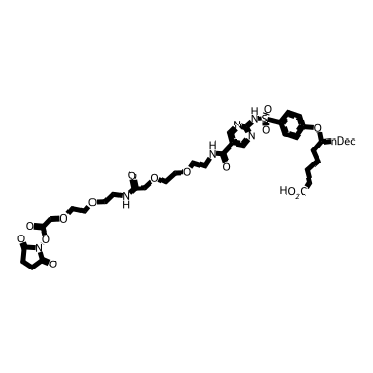 CCCCCCCCCCC(CCCCC(=O)O)Oc1ccc(S(=O)(=O)Nc2ncc(C(=O)NCCOCCOCC(=O)NCCOCCOCC(=O)ON3C(=O)CCC3=O)cn2)cc1